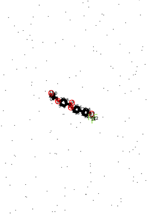 CC1(COc2ccc(C(=O)Oc3ccc(-c4ccc(OC(F)(F)F)cc4)cc3)cc2)COC1